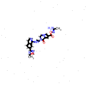 CC(N)=NOC(=O)c1cc2n(c1)CCN(CCNc1nccc3ccc(-c4noc(C)n4)cc13)C2=O